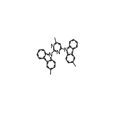 Cc1ccc2c(c1)c1ccccc1n2-c1cc(C)nc(-n2c3ccccc3c3cc(C)ccc32)n1